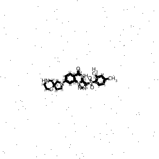 Cc1ccc(S(=O)(=O)c2nnn3c2[nH]c(=O)c2ccc(N4CCC5(CNCCO5)C4)cc23)c(C)c1